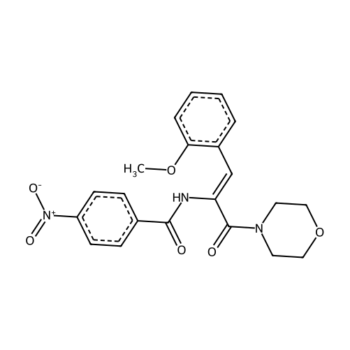 COc1ccccc1C=C(NC(=O)c1ccc([N+](=O)[O-])cc1)C(=O)N1CCOCC1